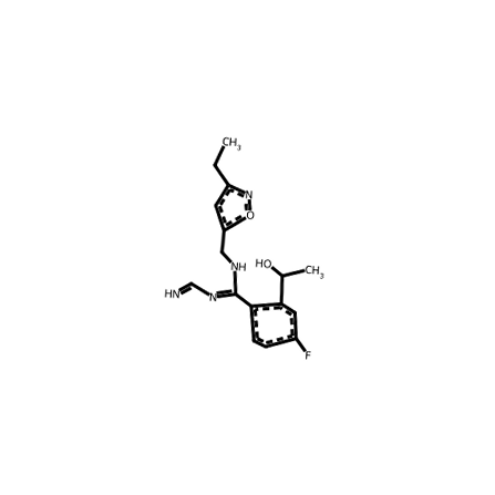 CCc1cc(CN/C(=N\C=N)c2ccc(F)cc2C(C)O)on1